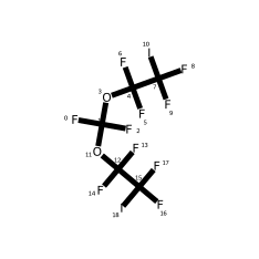 FC(F)(OC(F)(F)C(F)(F)I)OC(F)(F)C(F)(F)I